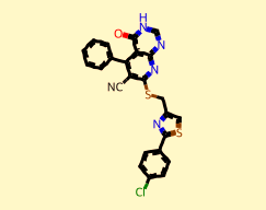 N#Cc1c(SCc2csc(-c3ccc(Cl)cc3)n2)nc2nc[nH]c(=O)c2c1-c1ccccc1